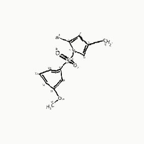 [CH2]c1cc(Br)n(S(=O)(=O)c2cccc(OC)c2)c1